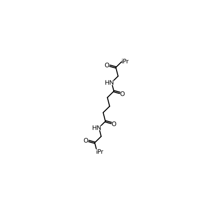 CC(C)C(=O)CNC(=O)CCCC(=O)NCC(=O)C(C)C